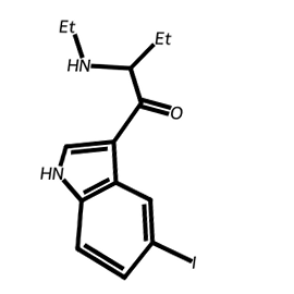 CCNC(CC)C(=O)c1c[nH]c2ccc(I)cc12